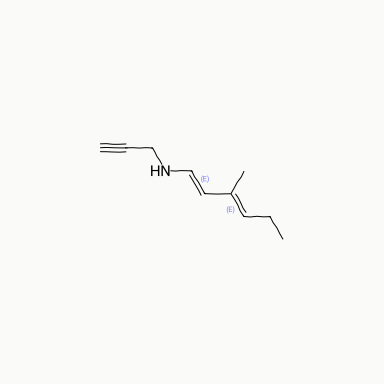 C#CCN/C=C/C(C)=C/CC